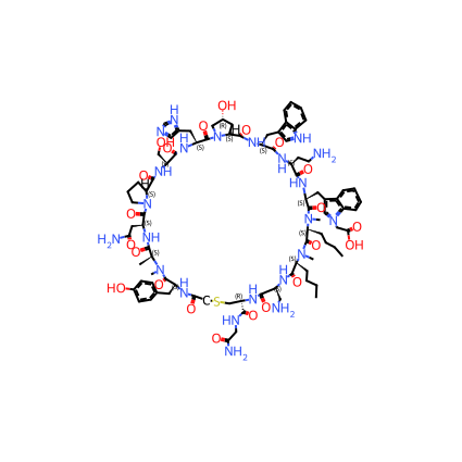 CCCC[C@H]1C(=O)N(C)[C@@H](CCCC)C(=O)N[C@@H](CN)C(=O)N[C@H](C(=O)NCC(N)=O)CSCC(=O)N[C@@H](Cc2ccc(O)cc2)C(=O)N(C)[C@@H](C)C(=O)N[C@@H](CC(N)=O)C(=O)N2CCC[C@H]2C(=O)N[C@@H](CO)C(=O)N[C@@H](Cc2cnc[nH]2)C(=O)N2C[C@H](O)C[C@H]2C(=O)N[C@@H](Cc2c[nH]c3ccccc23)C(=O)N[C@@H](CCN)C(=O)N[C@@H](Cc2cn(CC(=O)O)c3ccccc23)C(=O)N1C